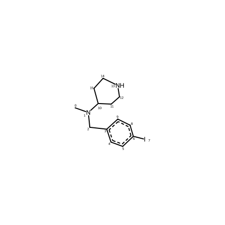 CN(Cc1ccc(I)cc1)C1CCNCC1